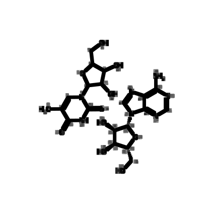 Cc1cn(C2OC(CO)C(O)C2O)c(=S)[nH]c1=O.Nc1ncnc2c1ncn2[C@@H]1O[C@H](CO)[C@@H](O)[C@H]1O